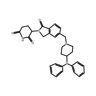 O=C1CCC(N2Cc3cc(CN4CCC(N(c5ccccc5)c5ccccc5)CC4)ccc3C2=O)C(=O)N1